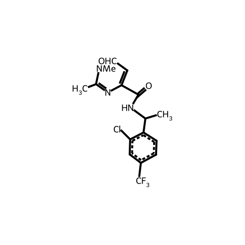 CN/C(C)=N\C(=C/C=O)C(=O)NC(C)c1ccc(C(F)(F)F)cc1Cl